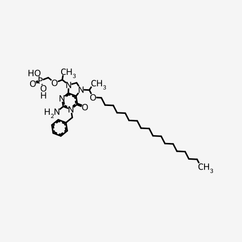 CCCCCCCCCCCCCCCCCCOC(C)N1CN(C(C)OCP(=O)(O)O)c2nc(N)n(Cc3ccccc3)c(=O)c21